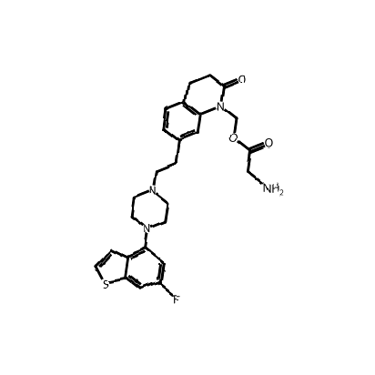 NCC(=O)OCN1C(=O)CCc2ccc(CCN3CCN(c4cc(F)cc5sccc45)CC3)cc21